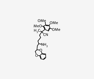 COc1cc(C(C)(C#N)CCCC(N)CC2COc3ccccc3O2)c(OC)c(OC)c1OC